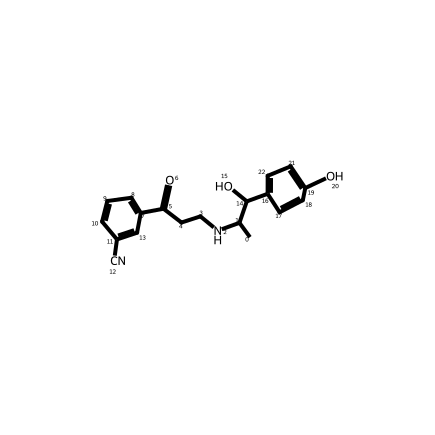 CC(NCCC(=O)c1cccc(C#N)c1)C(O)c1ccc(O)cc1